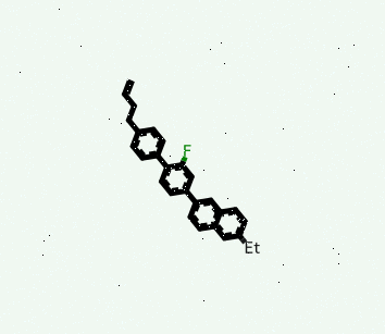 C=CCCc1ccc(-c2ccc(-c3ccc4cc(CC)ccc4c3)cc2F)cc1